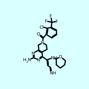 N=C/C=C(\NC1CCCCO1)c1nc(N)nc2c1CCN(C(=O)c1cccc(C(F)(F)F)c1Cl)C2